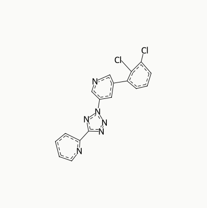 Clc1cccc(-c2cncc(-n3nnc(-c4ccccn4)n3)c2)c1Cl